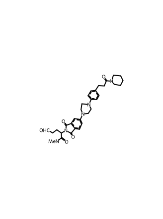 CNC(=O)C(CCC=O)N1C(=O)c2ccc(N3CCN(c4ccc(CCC(=O)N5CCCCC5)cc4)CC3)cc2C1=O